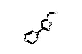 O=Cc1cc(-c2ccncn2)no1